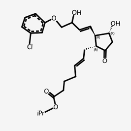 CC(C)OC(=O)CCCC=CC[C@H]1C(=O)C[C@@H](O)[C@@H]1C=CC(O)COc1cccc(Cl)c1